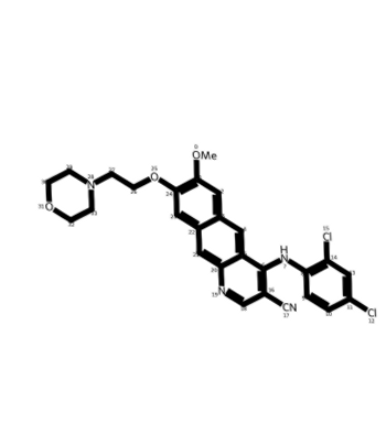 COc1cc2cc3c(Nc4ccc(Cl)cc4Cl)c(C#N)cnc3cc2cc1OCCN1CCOCC1